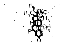 CCC(=O)O[C@]1(C(=O)SCF)[C@H](C)C[C@H]2[C@@H]3C[C@H](F)C4=CC(=O)C=C[C@]4(C)[C@]3(F)[C@@H](O)C[C@@]21C